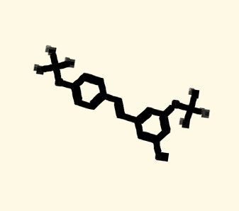 [2H]C([2H])([2H])Oc1ccc(/C=C/c2cc(O)cc(OC([2H])([2H])[2H])c2)cc1